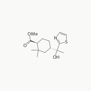 COC(=O)[C@H]1CC[C@H](C(C)(O)c2nccs2)CC1(C)C